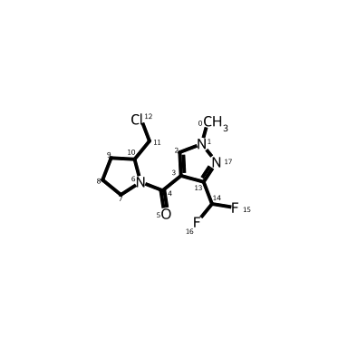 Cn1cc(C(=O)N2CCCC2CCl)c(C(F)F)n1